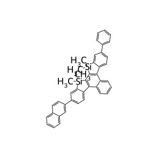 C[Si]1(C)c2cc(-c3ccccc3)ccc2-c2c1c1c(c3ccccc23)-c2ccc(-c3ccc4ccccc4c3)cc2[Si]1(C)C